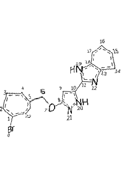 Brc1cccc(COc2cc(-c3nc4ccccc4[nH]3)[nH]n2)c1